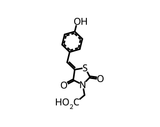 O=C(O)CN1C(=O)S/C(=C\c2ccc(O)cc2)C1=O